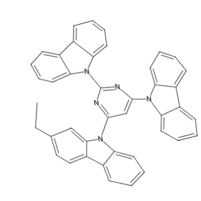 CCc1ccc2c3ccccc3n(-c3cc(-n4c5ccccc5c5ccccc54)nc(-n4c5ccccc5c5ccccc54)n3)c2c1